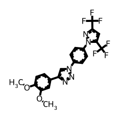 COc1ccc(-c2cn(-c3ccc(-n4nc(C(F)(F)F)cc4C(F)(F)F)cc3)nn2)cc1OC